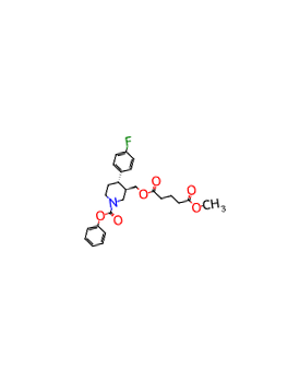 COC(=O)CCCC(=O)OC[C@H]1CN(C(=O)Oc2ccccc2)CC[C@@H]1c1ccc(F)cc1